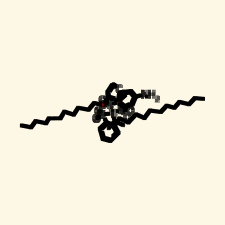 CCCCCCCCCCCCc1ccccc1[S](=O)(=O)[Ti]([CH](C)C)([S](=O)(=O)c1ccc(N)cc1)[S](=O)(=O)c1ccccc1CCCCCCCCCCCC